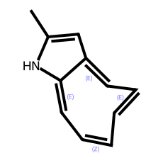 Cc1cc2/c([nH]1)=C\C=C/C=C/C=2